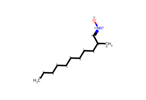 CCCCCCCCCC(C)C=[NH+][O-]